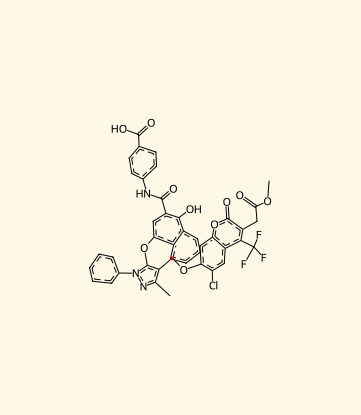 COC(=O)Cc1c(C(F)(F)F)c2cc(Cl)c(OCc3c(C)nn(-c4ccccc4)c3Oc3cc(C(=O)Nc4ccc(C(=O)O)cc4)c(O)c4ccccc34)cc2oc1=O